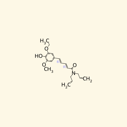 C=CCN(CC=C)C(=O)/C=C/C=C/c1cc(OC)c(O)c(OCC)c1